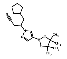 CC1(C)OB(c2cnn([C@@H](CC#N)CC3CCCC3)c2)OC1(C)C